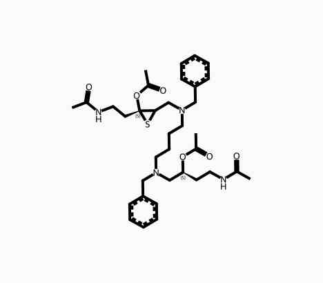 CC(=O)NCC[C@@H](CN(CCCCN(Cc1ccccc1)CC1S[C@]1(CCNC(C)=O)OC(C)=O)Cc1ccccc1)OC(C)=O